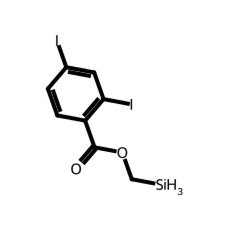 O=C(OC[SiH3])c1ccc(I)cc1I